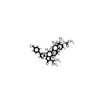 CC(=O)O[C@H]1CC[C@]2(C)[C@H]3CC[C@@H]4C5=C(C(C)C)C(=O)C[C@]5(c5ncc(-c6ccc(Cl)cc6)[nH]5)CC[C@@]4(C)[C@]3(C)CC[C@H]2C1(C)C